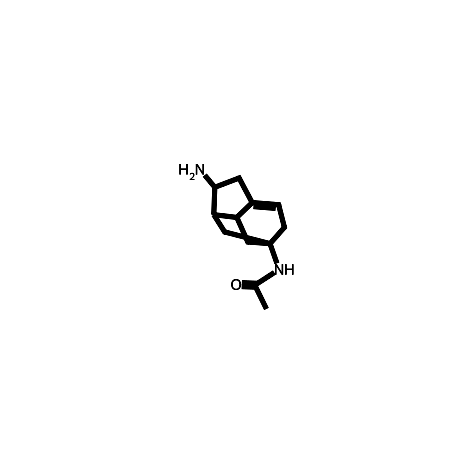 CC(=O)NC12CC=C3CC(N)C(C1)C3C2